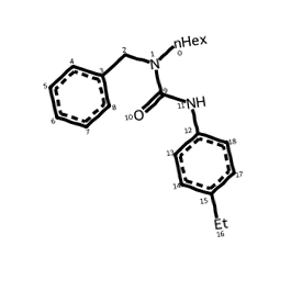 CCCCCCN(Cc1ccccc1)C(=O)Nc1ccc(CC)cc1